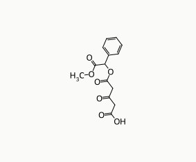 COC(=O)C(OC(=O)CC(=O)CC(=O)O)c1ccccc1